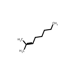 [CH2]/C(C)=C\CCCCC